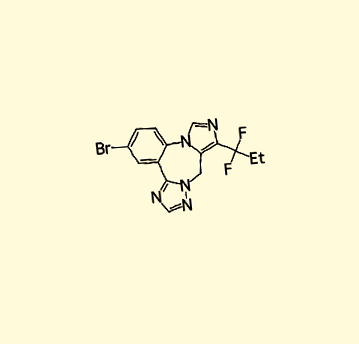 CCC(F)(F)c1ncn2c1Cn1ncnc1-c1cc(Br)ccc1-2